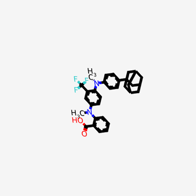 CN(c1ccc(N(C)c2ccc(C34CC5CC(CC(C5)C3)C4)cc2)c(C(F)(F)F)c1)c1ccccc1C(=O)O